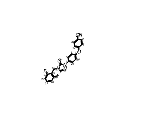 N#Cc1ccc(Oc2ccc(-n3ncn(Cc4c(F)cccc4F)c3=O)cc2)cc1